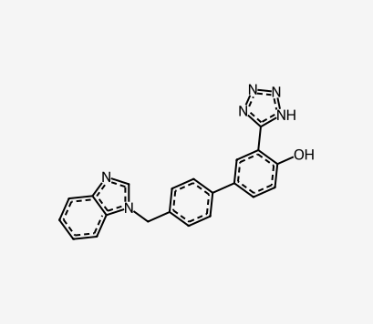 Oc1ccc(-c2ccc(Cn3cnc4ccccc43)cc2)cc1-c1nnn[nH]1